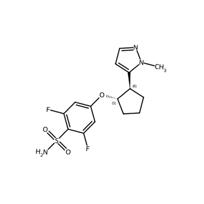 Cn1nccc1[C@H]1CCC[C@@H]1Oc1cc(F)c(S(N)(=O)=O)c(F)c1